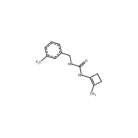 CC1=C(NC(=O)NCc2cccc(C(F)(F)F)c2)CC1